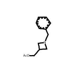 CC(=O)OCC1CN(Cc2ccccc2)C1